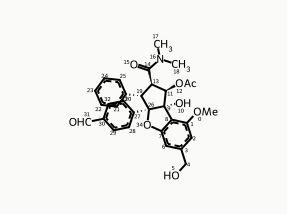 COc1cc(CO)cc2c1[C@]1(O)[C@H](OC(C)=O)[C@H](C(=O)N(C)C)[C@@H](c3ccccc3)[C@]1(c1ccc(C=O)cc1)O2